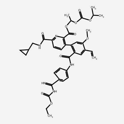 C=Cc1cc(C(=O)Nc2ccc(C(=N)NC(=O)OCC)cc2)c(-c2ccc(C(=O)NCC3CC3)nc2C(=O)OC(C)OC(=O)OC(C)C)cc1OC